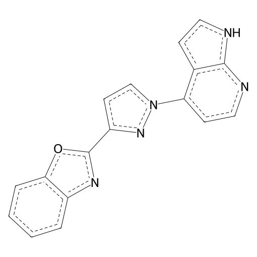 c1ccc2oc(-c3ccn(-c4ccnc5[nH]ccc45)n3)nc2c1